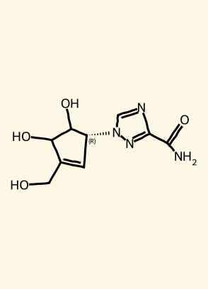 NC(=O)c1ncn([C@@H]2C=C(CO)C(O)C2O)n1